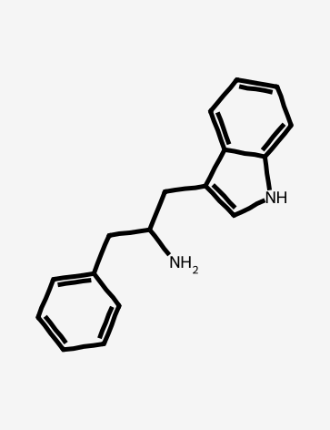 NC(Cc1ccccc1)Cc1c[nH]c2ccccc12